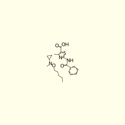 CCCCCON(C)C1CC1.Cc1nc(NC(=O)c2ccccc2)sc1C(=O)O